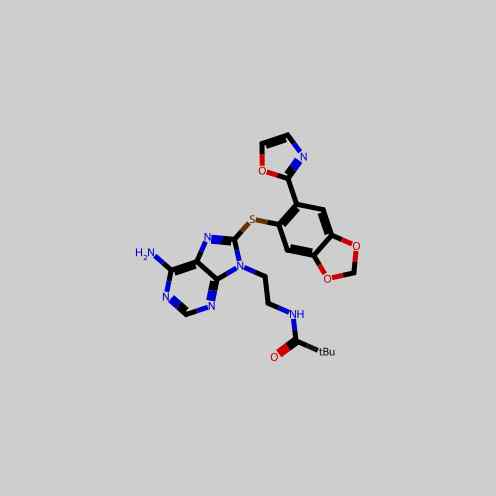 CC(C)(C)C(=O)NCCn1c(Sc2cc3c(cc2-c2ncco2)OCO3)nc2c(N)ncnc21